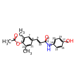 CC(=O)Oc1c(C)cc(/C=C/C(=O)Nc2ccc(O)cc2)cc1C